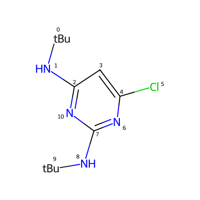 CC(C)(C)Nc1cc(Cl)nc(NC(C)(C)C)n1